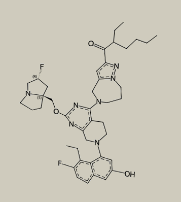 CCCCC(CC)C(=O)c1cc2n(n1)CCCN(c1nc(OC[C@@]34CCCN3C[C@H](F)C4)nc3c1CCN(c1cc(O)cc4ccc(F)c(CC)c14)C3)C2